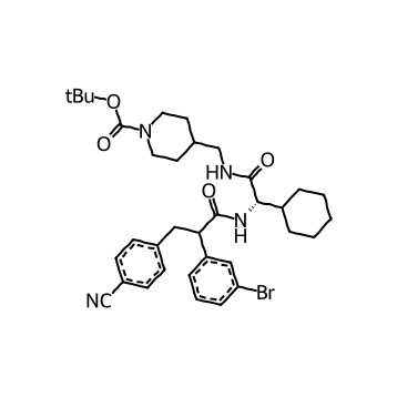 CC(C)(C)OC(=O)N1CCC(CNC(=O)[C@@H](NC(=O)C(Cc2ccc(C#N)cc2)c2cccc(Br)c2)C2CCCCC2)CC1